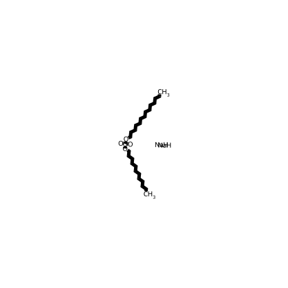 CCCCCCCCCCCCCCOS(=O)(=O)OCCCCCCCCCCCC.[NaH].[NaH]